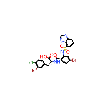 O=C(N[C@@H](Cc1ccc(Cl)c(Br)c1)C(=O)O)c1ccc(Br)cc1NS(=O)(=O)c1cccc2nccnc12